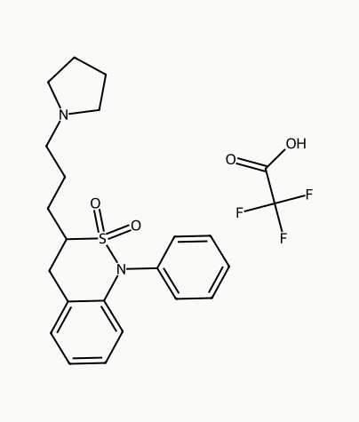 O=C(O)C(F)(F)F.O=S1(=O)C(CCCN2CCCC2)Cc2ccccc2N1c1ccccc1